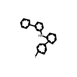 Ic1ccc(-c2ccccc2Nc2cccc(-c3ccccc3)c2)cc1